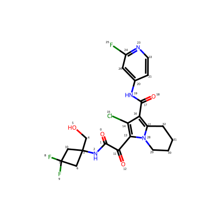 O=C(NC1(CO)CC(F)(F)C1)C(=O)c1c(Cl)c(C(=O)Nc2ccnc(F)c2)c2n1CCCC2